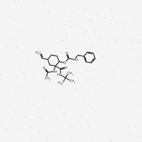 C=CC1CCC(OC(=O)NCc2ccccc2)C(NC(C)=O)(C(=O)NC(C)(C)C)C1